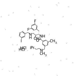 Cc1cc(CN(C)CCC(C)C)cc(C(=O)N[C@@H](Cc2cc(F)cc(F)c2)[C@@H](O)CNCc2cccc(I)c2)c1.Cl.Cl